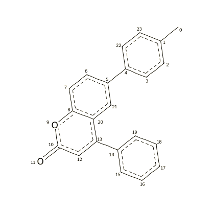 Cc1ccc(-c2ccc3oc(=O)cc(-c4ccccc4)c3c2)cc1